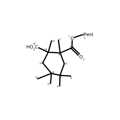 CCCC(C)OC(=O)C1(C)CC(C)(C)C(C)(C)CC1(C)C(=O)O